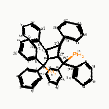 PC(c1ccccc1)(c1ccccc1)C1C(c2ccccc2)C(c2ccccc2)C1C(P)(c1ccccc1)c1ccccc1